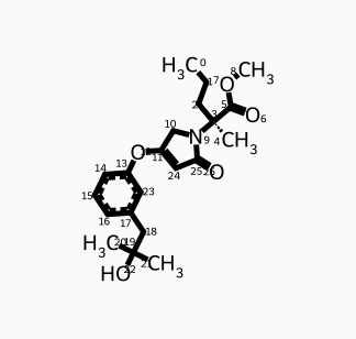 CCC[C@@](C)(C(=O)OC)N1CC(Oc2cccc(CC(C)(C)O)c2)=CC1=O